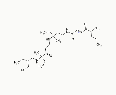 CCCC(C)C(=O)/C=C/C(=O)NCCC(C)(CC)NCCC(=O)C(C)(CC)NCC(CC)CC